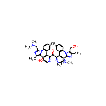 Cc1nc(CN(C)C)n(-c2ccc(C(F)(F)F)cc2-c2cccnc2C(=O)c2ncccc2-c2cc(C(F)(F)F)ccc2-n2c(CN(C)C)nc(C)c2CO)c1CO